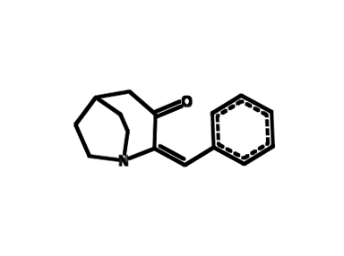 O=C1CC2CCN(CC2)/C1=C/c1ccccc1